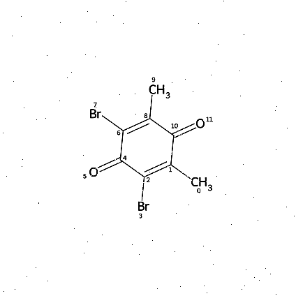 CC1=C(Br)C(=O)C(Br)=C(C)C1=O